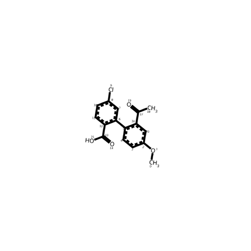 COc1ccc(-c2cc(Cl)ccc2C(=O)O)c(C(C)=O)c1